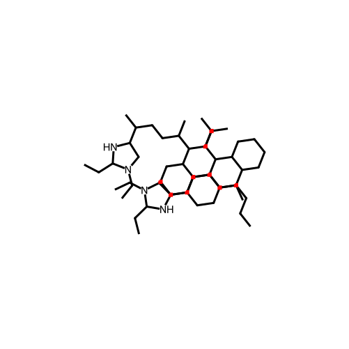 CCCC(C(C)CCC(C)C1CN(CC)C(CC)N1)C1CCCCC1C(CCC)C(CCC)C1CCCCC1C(CCC)C1CCC(C2CN(CC)C(CC)N2)CC1